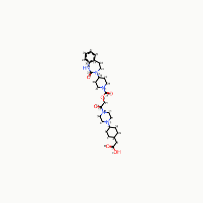 O=C(O)CC1CCC(N2CCN(C(=O)COC(=O)N3CCC(N4CCc5ccccc5NC4=O)CC3)CC2)CC1